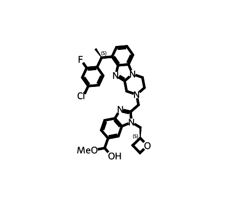 COC(O)c1ccc2nc(CN3CCn4c(nc5c([C@H](C)c6ccc(Cl)cc6F)cccc54)C3)n(C[C@@H]3CCO3)c2c1